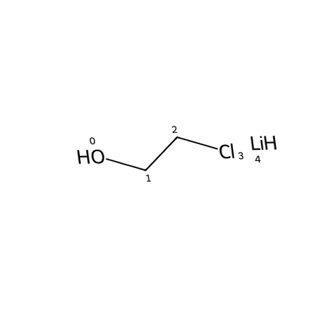 OCCCl.[LiH]